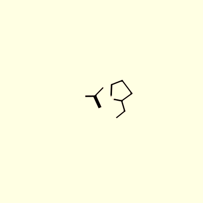 C=C(C)C(=O)O.OCC1CCCO1